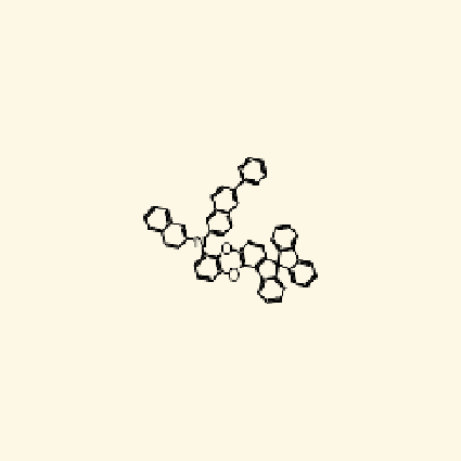 c1ccc(-c2ccc3cc(N(c4ccc5ccccc5c4)c4cccc5c4Oc4ccc6c(c4O5)-c4ccccc4C64c5ccccc5-c5ccccc54)ccc3c2)cc1